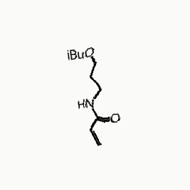 C=CC(=O)NCCCOCC(C)C